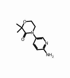 CC1(C)OCCN(c2ccc(N)nc2)C1=O